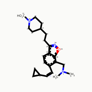 CN(C)Cc1c(/C=C\C2CC2)ccc2c(CCC3CCN(C(=O)O)CC3)noc12